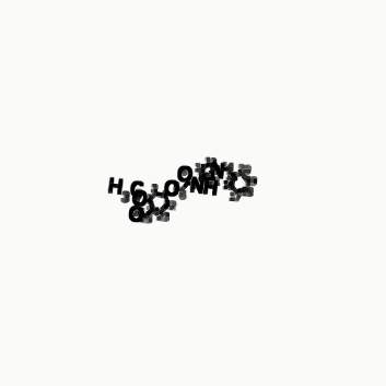 COc1cc(OCC(=O)N[C@H]2CCN(Cc3ccccc3)C2)ccc1C=O